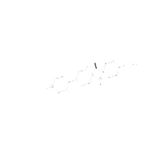 CCCCCCC1CC[C@]2(CC1)C(=O)[C@@]1(CCC(C3CCC(CCC)CC3)CC1)[C@@H]2F